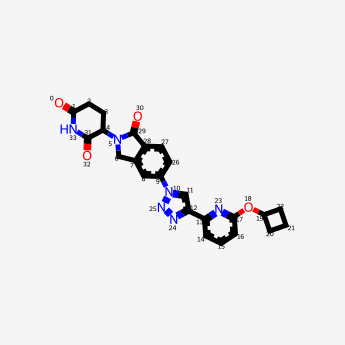 O=C1CCC(N2Cc3cc(-n4cc(-c5cccc(OC6CCC6)n5)nn4)ccc3C2=O)C(=O)N1